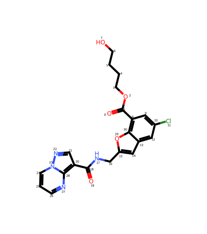 O=C(OCCCCO)c1cc(Cl)cc2cc(CNC(=O)c3cnn4cccnc34)oc12